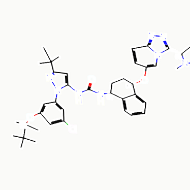 CN1CCC[C@H]1c1nnc2ccc(O[C@@H]3CC[C@H](NC(=O)Nc4cc(C(C)(C)C)nn4-c4cc(Cl)cc(O[Si](C)(C)C(C)(C)C)c4)c4ccccc43)cn12